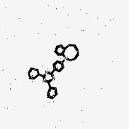 C1=CCC(c2nc(-c3ccccc3)nc(-c3ccc(N4C/C=C\C=C/Cc5ccccc54)cc3)n2)C=C1